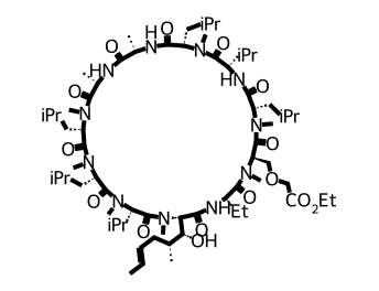 C/C=C/C[C@@H](C)[C@@H](O)[C@H]1C(=O)N[C@@H](CC)C(=O)N(C)[C@H](COCC(=O)OCC)C(=O)N(C)[C@@H](CC(C)C)C(=O)N[C@@H](C(C)C)C(=O)N(C)[C@@H](CC(C)C)C(=O)N[C@@H](C)C(=O)N[C@@H](C)C(=O)N(C)[C@@H](CC(C)C)C(=O)N(C)[C@@H](CC(C)C)C(=O)N(C)[C@@H](C(C)C)C(=O)N1C